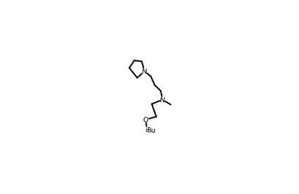 CCC(C)OCCN(C)CCCN1CCCC1